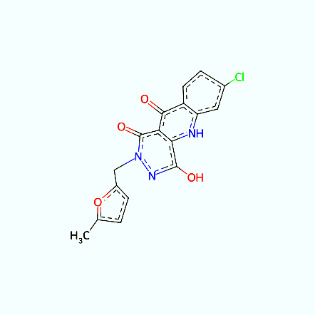 Cc1ccc(Cn2nc(O)c3[nH]c4cc(Cl)ccc4c(=O)c3c2=O)o1